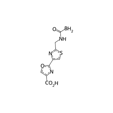 BC(=O)NCc1nc(-c2nc(C(=O)O)co2)cs1